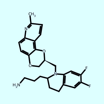 Cc1ccc2c3c(ccc2n1)OC[C@H](CN1c2cc(F)c(F)cc2CCC1CCCN)O3